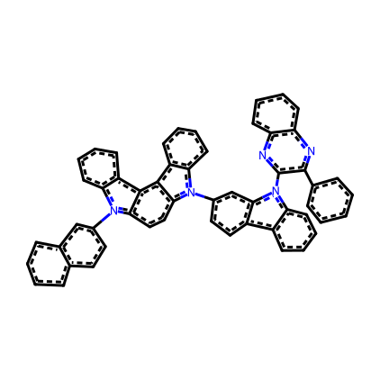 c1ccc(-c2nc3ccccc3nc2-n2c3ccccc3c3ccc(-n4c5ccccc5c5c6c7ccccc7n(-c7ccc8ccccc8c7)c6ccc54)cc32)cc1